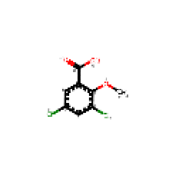 COc1c(Cl)cc(Cl)cc1C(=O)O